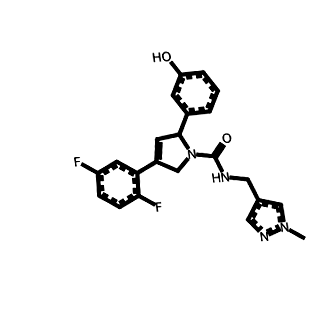 Cn1cc(CNC(=O)N2CC(c3cc(F)ccc3F)=CC2c2cccc(O)c2)cn1